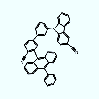 N#Cc1ccc2c(c1)c1ccccc1n2-c1cccc(-c2ccc(C#N)c(-c3c4ccccc4c(-c4ccccc4)c4ccccc34)c2)c1